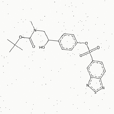 CN(CC(O)c1ccc(OS(=O)(=O)c2ccc3nsnc3c2)cc1)C(=O)OC(C)(C)C